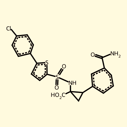 NC(=O)c1cccc(C2CC2(NS(=O)(=O)c2ccc(-c3ccc(Cl)cc3)s2)C(=O)O)c1